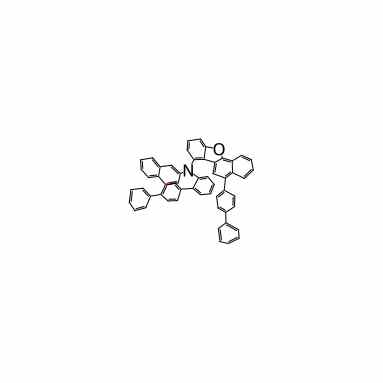 c1ccc(-c2ccc(-c3ccccc3N(c3ccc4ccccc4c3)c3cccc4oc5c6ccccc6c(-c6ccc(-c7ccccc7)cc6)cc5c34)cc2)cc1